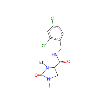 CCN1C(=O)N(C)CC1C(=O)NCc1ccc(Cl)cc1Cl